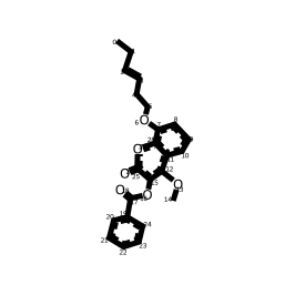 CCC=CCCOc1cccc2c(OC)c(OC(=O)c3ccccc3)c(=O)oc12